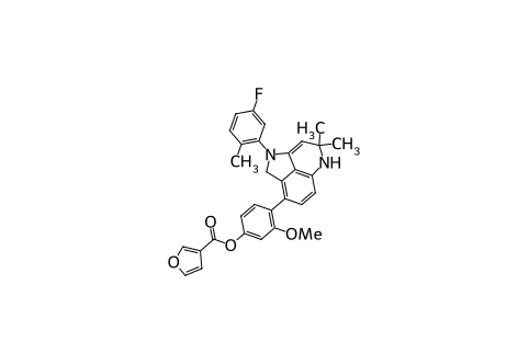 COc1cc(OC(=O)c2ccoc2)ccc1-c1ccc2c3c1CN(c1cc(F)ccc1C)C3=CC(C)(C)N2